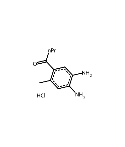 CCCC(=O)c1cc(N)c(N)cc1C.Cl